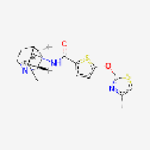 Cc1csc(Oc2ccc(C(=O)N[C@@H]3C4CCN(CC4)[C@H]3C)s2)n1